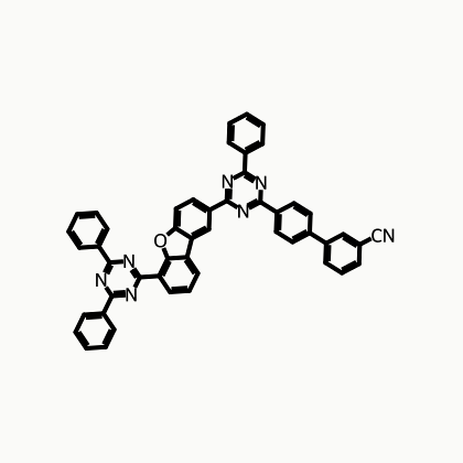 N#Cc1cccc(-c2ccc(-c3nc(-c4ccccc4)nc(-c4ccc5oc6c(-c7nc(-c8ccccc8)nc(-c8ccccc8)n7)cccc6c5c4)n3)cc2)c1